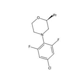 CC(C)[C@H]1CN(c2c(F)cc(Cl)cc2F)CCO1